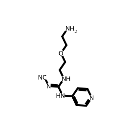 N#CN=C(NCCOCCN)Nc1ccncc1